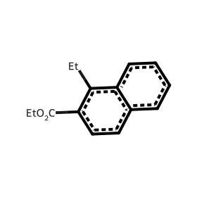 CCOC(=O)c1ccc2ccccc2c1CC